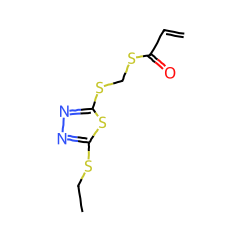 C=CC(=O)SCSc1nnc(SCC)s1